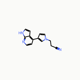 N#CCCn1ccc(-c2ccnc3[nH]ccc23)c1